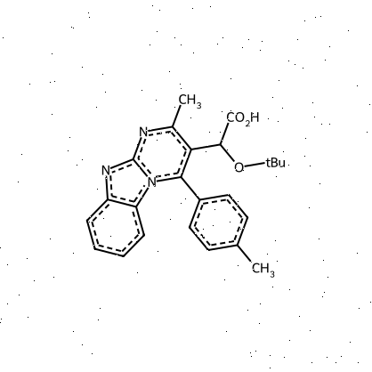 Cc1ccc(-c2c(C(OC(C)(C)C)C(=O)O)c(C)nc3nc4ccccc4n23)cc1